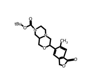 Cc1cc2c(cc1C1CN3CCN(C(=O)OC(C)(C)C)CC3CO1)COC2=O